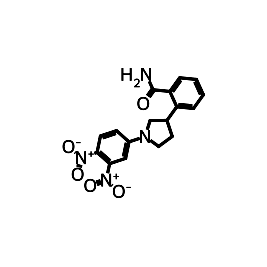 NC(=O)c1ccccc1C1CCN(c2ccc([N+](=O)[O-])c([N+](=O)[O-])c2)C1